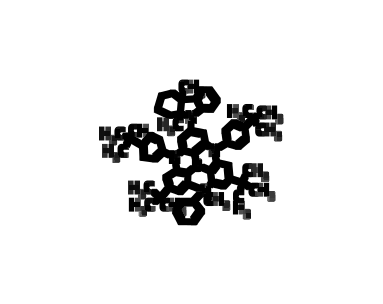 CC(C)(C)c1ccc(N2c3cc(N4c5ccccc5C5(C)CCCCC45C)cc4c3B3c5c2cc(C(C)(C)C)cc5[Si](C)(c2ccccc2)c2cc(C(C)(C)C)cc(c23)N4c2ccc(C(C)(C)C)cc2)cc1